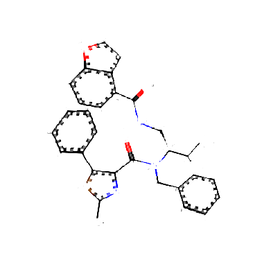 Cc1nc(C(=O)N(Cc2ccccc2)[C@@H](CNC(=O)c2cccc3occc23)C(C)C)c(-c2ccccc2)s1